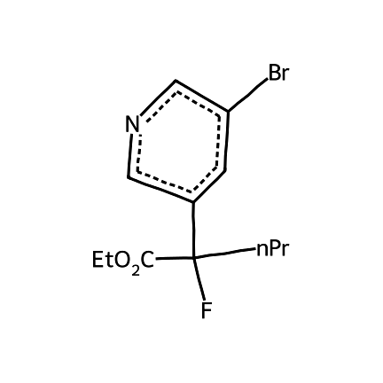 CCCC(F)(C(=O)OCC)c1cncc(Br)c1